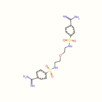 N=C(N)c1ccc(S(=O)(=O)NCCOCCNS(=O)(=O)c2ccc(C(=N)N)cc2)cc1